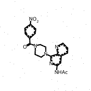 CC(=O)Nc1cc2cccnc2c(N2CCN(C(=O)c3ccc([N+](=O)[O-])cc3)CC2)n1